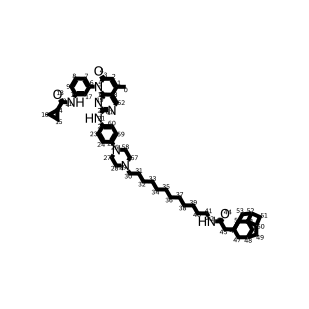 Cc1cc(=O)n(-c2cccc(NC(=O)C3CC3)c2)c2nc(Nc3ccc(N4CCN(CCCCCCCCCCCCNC(=O)CC56CC7CC8CC(C5)C8(C7)C6)CC4)cc3)ncc12